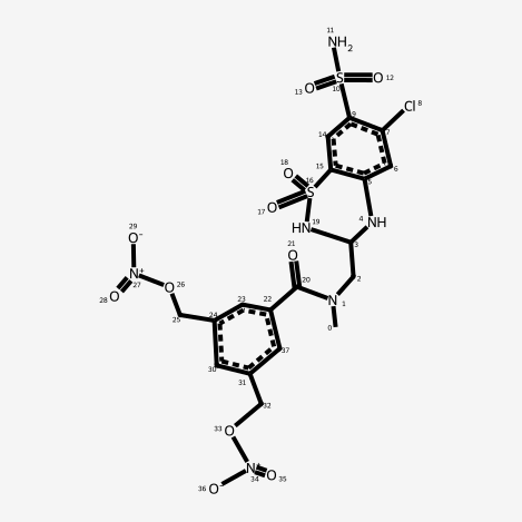 CN(CC1Nc2cc(Cl)c(S(N)(=O)=O)cc2S(=O)(=O)N1)C(=O)c1cc(CO[N+](=O)[O-])cc(CO[N+](=O)[O-])c1